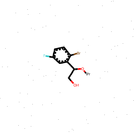 CC(C)OC(CO)c1cc(F)ccc1Br